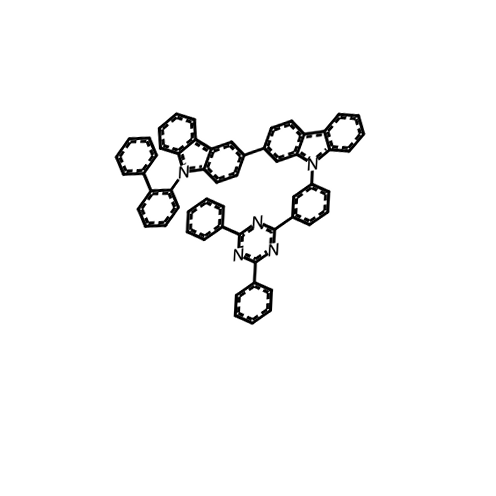 c1ccc(-c2nc(-c3ccccc3)nc(-c3cccc(-n4c5ccccc5c5ccc(-c6ccc7c(c6)c6ccccc6n7-c6ccccc6-c6ccccc6)cc54)c3)n2)cc1